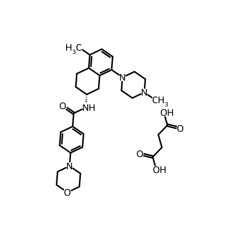 Cc1ccc(N2CCN(C)CC2)c2c1CC[C@@H](NC(=O)c1ccc(N3CCOCC3)cc1)C2.O=C(O)CCC(=O)O